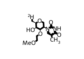 [2H]C[C@H]1OC[C@@H](n2cc(C)c(=O)[nH]c2=O)[C@H](OCCOC)[C@@H]1O